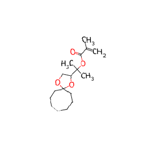 C=C(C)C(=O)OC(C)(C)C1COC2(CCCCCCC2)O1